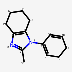 Cc1nc2c(n1C1=CCCC=C1)CCCC2